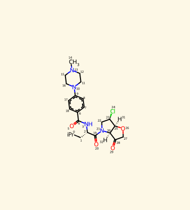 CC(C)C[C@H](NC(=O)c1ccc(N2CCN(C)CC2)cc1)C(=O)N1C[C@@H](Cl)[C@H]2OCC(=O)[C@H]21